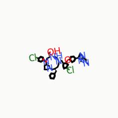 C[C@H]1CN[C@H](CO)CN(C)[C@@]2(Cc3ccc(Cl)cc3)CCCN(C[C@H](Cc3ccccc3)CCN1Cc1ccc(Cl)cc1Oc1ccc(-c3cnc(CN(C)C)n3C)cc1)C2